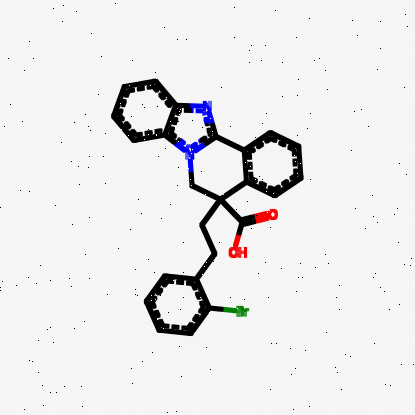 O=C(O)C1(CCc2ccccc2Br)Cn2c(nc3ccccc32)-c2ccccc21